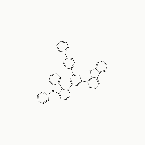 c1ccc(-c2ccc(-c3cc(-c4cccc5c4c4ccccc4n5-c4ccccc4)cc(-c4cccc5c4sc4ccccc45)n3)cc2)cc1